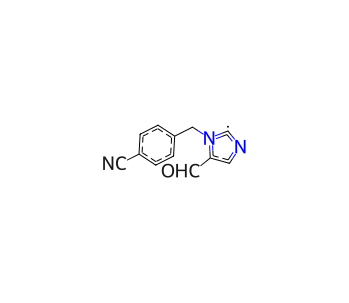 N#Cc1ccc(Cn2[c]ncc2C=O)cc1